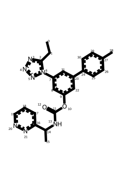 CCc1nnnn1-c1cc(OC(=O)NC(C)c2cccnn2)cc(-c2ccc(C)cc2)c1